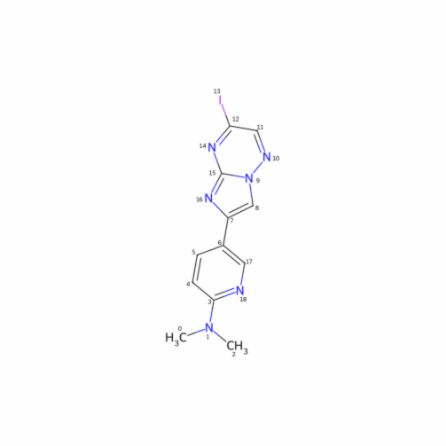 CN(C)c1ccc(-c2cn3ncc(I)nc3n2)cn1